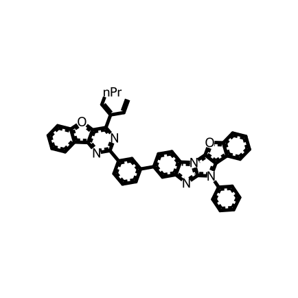 C=C/C(=C\CCC)c1nc(-c2cccc(-c3ccc4c(c3)nc3n(-c5ccccc5)c5c6ccccc6oc5n43)c2)nc2c1oc1ccccc12